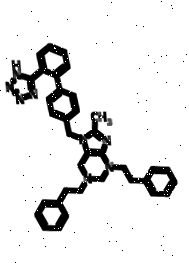 Cc1nc2c(n1Cc1ccc(-c3ccccc3-c3nnn[nH]3)cc1)CN(CCc1ccccc1)CN2CCc1ccccc1